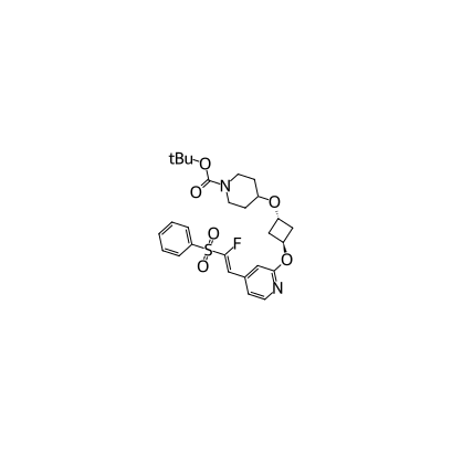 CC(C)(C)OC(=O)N1CCC(O[C@H]2C[C@H](Oc3cc(C=C(F)S(=O)(=O)c4ccccc4)ccn3)C2)CC1